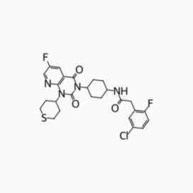 O=C(Cc1cc(Cl)ccc1F)NC1CCC(n2c(=O)c3cc(F)cnc3n(C3CCSCC3)c2=O)CC1